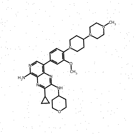 COc1cc(-c2cnc(N)c3nc(C4CC4)c(NC4CCOCC4)nc23)ccc1N1CCC(N2CCN(C)CC2)CC1